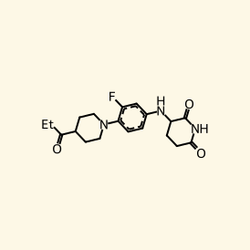 CCC(=O)C1CCN(c2ccc(NC3CCC(=O)NC3=O)cc2F)CC1